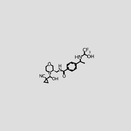 CC(NC(O)C(F)(F)F)c1ccc(C(=O)NC[C@@H]2COCCN2C(O)C2(C#N)CC2)cc1